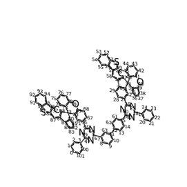 c1ccc(-c2nc(-c3cccc(-c4ccc(-c5nc(-c6ccccc6)nc(-c6ccc7c(c6)C6(c8ccccc8Oc8ccccc86)c6cc8sc9ccccc9c8cc6-7)n5)cc4)c3)nc(-c3ccc4c(c3)C3(c5ccccc5O4)c4ccccc4-c4cc5sc6ccccc6c5cc43)n2)cc1